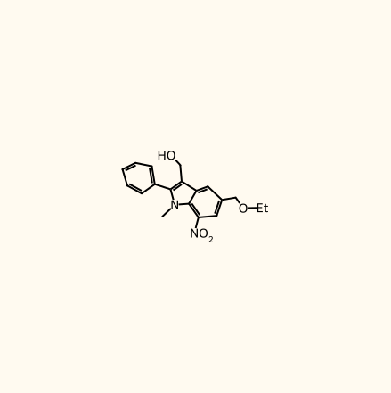 CCOCc1cc([N+](=O)[O-])c2c(c1)c(CO)c(-c1ccccc1)n2C